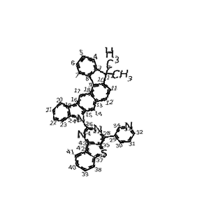 CC1(C)c2ccccc2-c2c1ccc1cc3c(cc21)c1ccccc1n3-c1nc(-c2cccnc2)c2sc3ccccc3c2n1